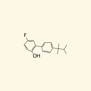 CC(C)C(C)(C)c1ccc(-c2cc(F)ccc2O)cc1